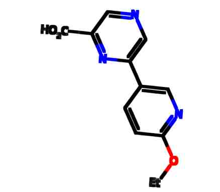 CCOc1ccc(-c2cncc(C(=O)O)n2)cn1